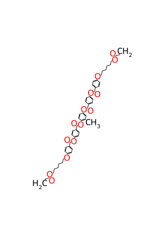 C=CC(=O)OCCCCCCOc1ccc(C(=O)Oc2ccc(C(=O)Oc3ccc(OC(=O)c4ccc(OC(=O)c5ccc(OCCCCCCOC(=O)C=C)cc5)cc4)c(C)c3)cc2)cc1